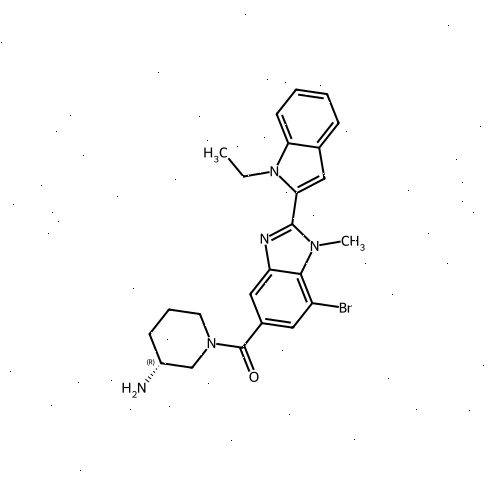 CCn1c(-c2nc3cc(C(=O)N4CCC[C@@H](N)C4)cc(Br)c3n2C)cc2ccccc21